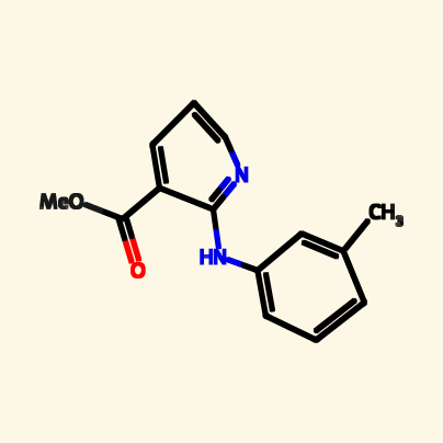 COC(=O)c1cccnc1Nc1cccc(C)c1